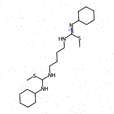 CS/C(=N\C1CCCCC1)NCCCCNC(NC1CCCCC1)SC